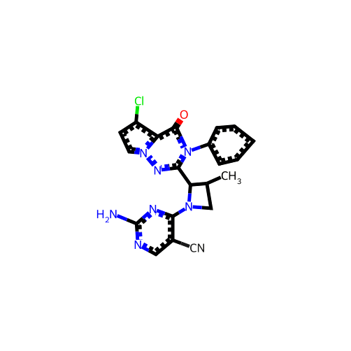 CC1CN(c2nc(N)ncc2C#N)C1c1nn2ccc(Cl)c2c(=O)n1-c1ccccc1